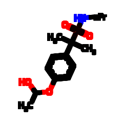 CCCNS(=O)(=O)C(C)(C)c1ccc(OC(C)O)cc1